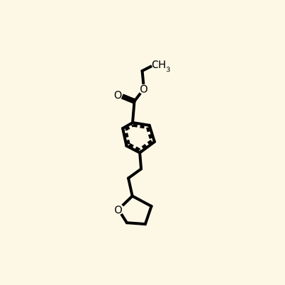 CCOC(=O)c1ccc(CCC2CCCO2)cc1